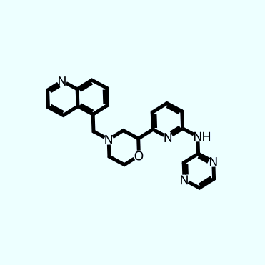 c1cc(Nc2cnccn2)nc(C2CN(Cc3cccc4ncccc34)CCO2)c1